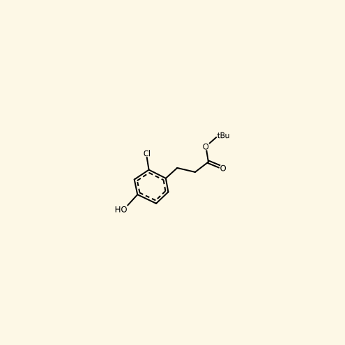 CC(C)(C)OC(=O)CCc1ccc(O)cc1Cl